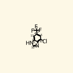 FC(F)(F)c1cc(Cl)c2n[c][nH]c2c1